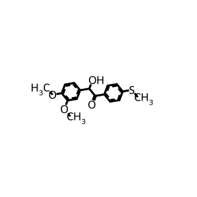 COc1ccc(C(O)C(=O)c2ccc(SC)cc2)cc1OC